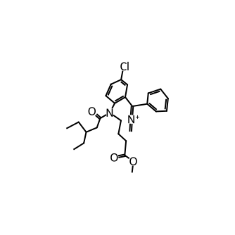 C=[N+]=C(c1ccccc1)c1cc(Cl)ccc1N(CCCC(=O)OC)C(=O)CC(CC)CC